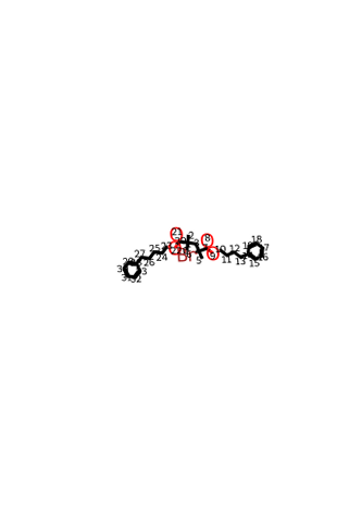 CC(C)(CC(C)(Br)C(=O)OCCCCc1ccccc1)C(=O)OCCCCCc1ccccc1